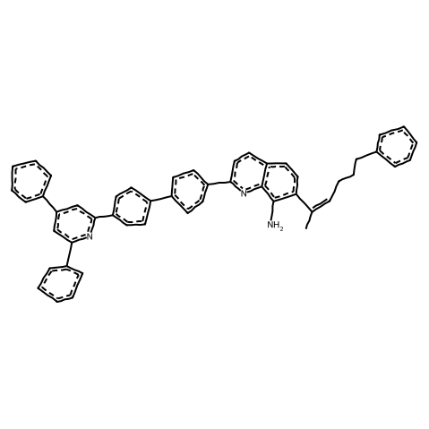 C/C(=C/CCCc1ccccc1)c1ccc2ccc(-c3ccc(-c4ccc(-c5cc(-c6ccccc6)cc(-c6ccccc6)n5)cc4)cc3)nc2c1N